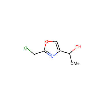 COC(O)c1coc(CCl)n1